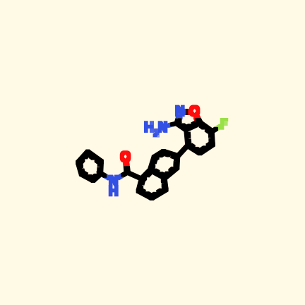 Nc1noc2c(F)ccc(-c3ccc4c(C(=O)Nc5ccccc5)cccc4c3)c12